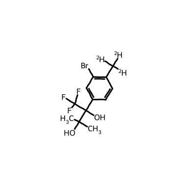 [2H]C([2H])([2H])c1ccc(C(O)(C(C)(C)O)C(F)(F)F)cc1Br